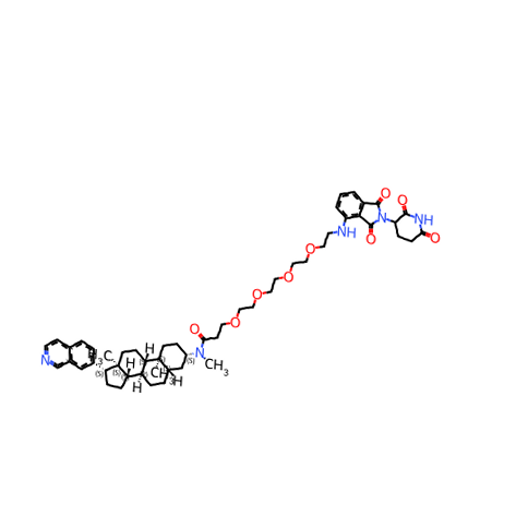 CN(C(=O)CCOCCOCCOCCOCCNc1cccc2c1C(=O)N(C1CCC(=O)NC1=O)C2=O)[C@H]1CC[C@@]2(C)[C@@H](CC[C@@H]3[C@@H]2CC[C@]2(C)[C@@H](c4ccc5ccncc5c4)CC[C@@H]32)C1